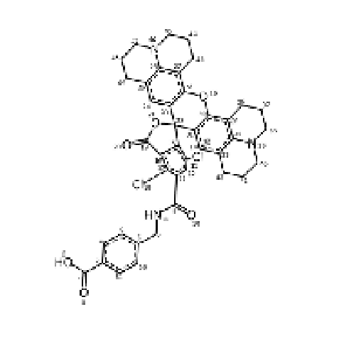 O=C(O)c1ccc(CNC(=O)c2cc(Cl)c3c(c2Cl)C(=O)OC32c3cc4c5c(c3Oc3c2cc2c6c3CCCN6CCC2)CCCN5CCC4)cc1